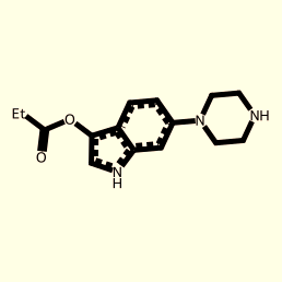 CCC(=O)Oc1c[nH]c2cc(N3CCNCC3)ccc12